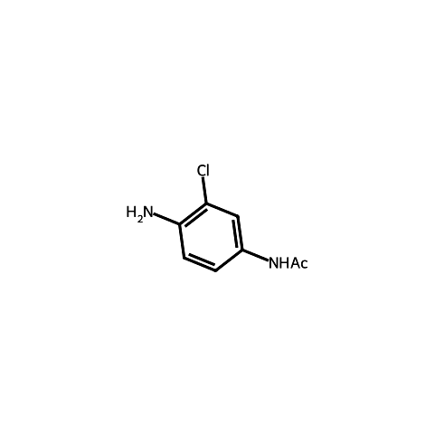 CC(=O)Nc1ccc(N)c(Cl)c1